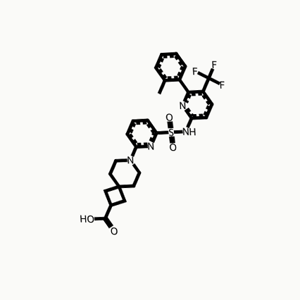 Cc1ccccc1-c1nc(NS(=O)(=O)c2cccc(N3CCC4(CC3)CC(C(=O)O)C4)n2)ccc1C(F)(F)F